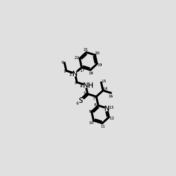 CCN(CNC(=S)C(c1ccccn1)C(C)C)c1ccccc1